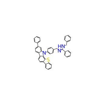 c1ccc(CN/C(=N\Cc2ccc(-n3c4cc(-c5ccccc5)ccc4c4ccc5c6ccccc6sc5c43)cc2)c2ccccc2)cc1